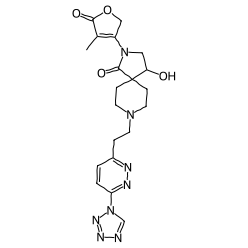 CC1=C(N2CC(O)C3(CCN(CCc4ccc(-n5cnnn5)nn4)CC3)C2=O)COC1=O